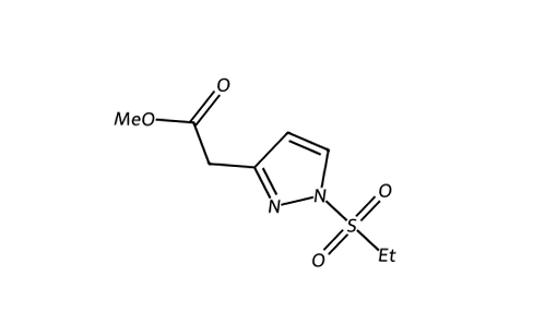 CCS(=O)(=O)n1ccc(CC(=O)OC)n1